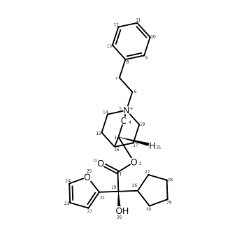 O=C(O[C@H]1C[N+]2(CCc3ccccc3)CCC1CC2)[C@@](O)(c1ccco1)C1CCCC1